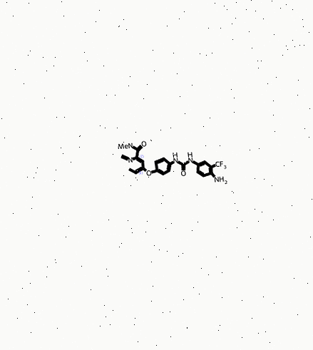 C=N/C(=C\C(=C/C)Oc1ccc(NC(=O)Nc2ccc(N)c(C(F)(F)F)c2)cc1)C(=O)NC